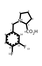 O=C(O)C1CCCN1Cc1ccc(F)c(F)c1